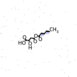 C/C=C/C=C/C(=O)OC(=O)CC(O)C(=O)O